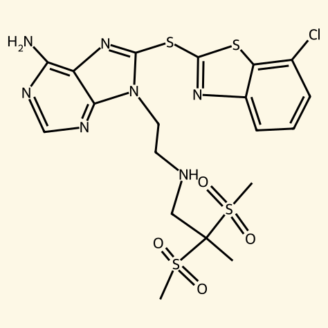 CC(CNCCn1c(Sc2nc3cccc(Cl)c3s2)nc2c(N)ncnc21)(S(C)(=O)=O)S(C)(=O)=O